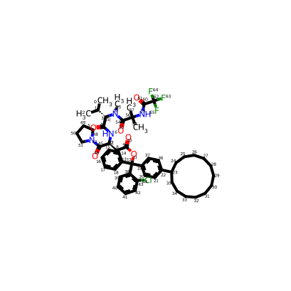 CC(C)[C@@H](C(=O)N[C@@H](CC(=O)OC(c1ccccc1)(c1ccc(C2CCCCCCCCCCCC2)cc1)c1ccccc1Cl)C(=O)N1CCCC1)N(C)C(=O)C(C)(C)NC(=O)C(F)(F)F